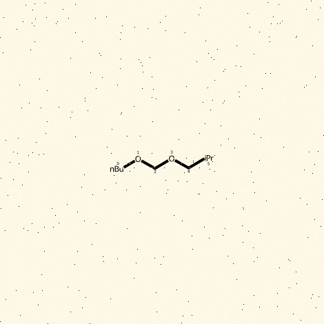 CCCCOCOCC(C)C